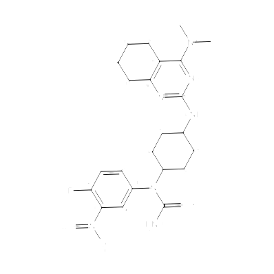 CN(C)c1nc(NC2CCC(N(C(N)=O)c3ccc(F)c([N+](=O)[O-])c3)CC2)nc2c1CCCC2